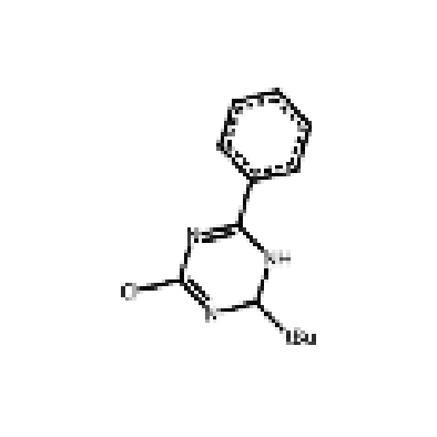 CC(C)(C)C1N=C(Cl)N=C(c2ccccc2)N1